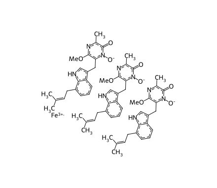 COc1nc(C)c(=O)n([O-])c1Cc1c[nH]c2c(CC=C(C)C)cccc12.COc1nc(C)c(=O)n([O-])c1Cc1c[nH]c2c(CC=C(C)C)cccc12.COc1nc(C)c(=O)n([O-])c1Cc1c[nH]c2c(CC=C(C)C)cccc12.[Fe+3]